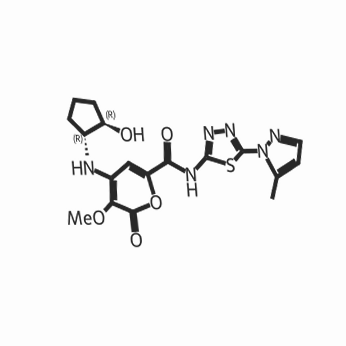 COc1c(N[C@@H]2CCC[C@H]2O)cc(C(=O)Nc2nnc(-n3nccc3C)s2)oc1=O